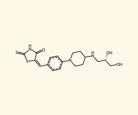 O=C1NC(=S)SC1=Cc1ccc(N2CCC(NC[C@H](O)CO)CC2)cc1